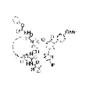 COc1ccc2c(c1)oc1c(O[C@@H]3C[C@H]4C(=O)N[C@]5(C(=O)NS(=O)(=O)C6(C)CC6)C[C@H]5/C=C\CCCCC[C@H](NC(=O)OC5CCCC5)C(=O)N4C3)cc(-c3nc(C(C)C)cs3)nc12